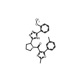 Cc1cccc(-c2oc(C)nc2C(=O)N2CCCC2c2nnc(-c3ccccc3OC(F)(F)F)[nH]2)c1